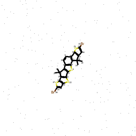 CC1(C)c2c(sc3c4c(ccc23)-c2sc(Br)cc2C4(C)C)-c2sc3cc(Br)sc3c21